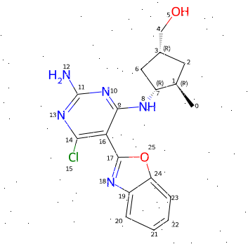 C[C@@H]1C[C@@H](CO)C[C@H]1Nc1nc(N)nc(Cl)c1-c1nc2ccccc2o1